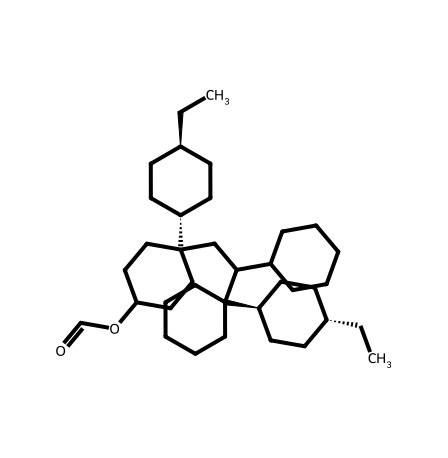 CC[C@H]1CC[C@H](C2(CC(C3CCCCC3)C3([C@H]4CC[C@H](CC)CC4)CCCCC3)CCC(OC=O)CC2)CC1